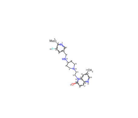 COc1ncc(CNC2CCN(CCn3c(=O)ccc4ncc(C)cc43)CC2)cc1F